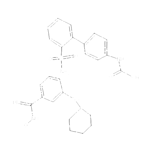 N=C(NO)c1cccc(NC2CCCCC2)c1.NS(=O)(=O)c1ccccc1-c1ccc(NC(=O)O)cc1